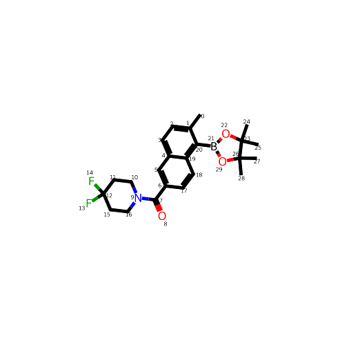 Cc1ccc2cc(C(=O)N3CCC(F)(F)CC3)ccc2c1B1OC(C)(C)C(C)(C)O1